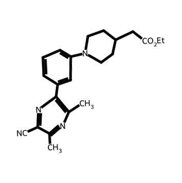 CCOC(=O)CC1CCN(c2cccc(-c3nc(C#N)c(C)nc3C)c2)CC1